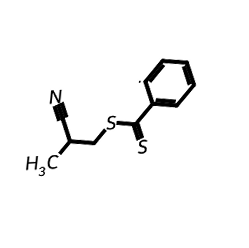 CC(C#N)CSC(=S)c1[c]cccc1